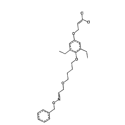 CCc1cc(OCC=C(Cl)Cl)cc(CC)c1OCCCCOC/C=N/OCc1ccccc1